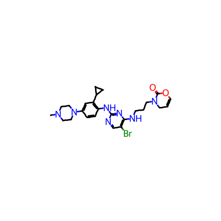 CN1CCN(c2ccc(Nc3ncc(Br)c(NCCCN4CC=COC4=O)n3)c(C3CC3)c2)CC1